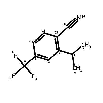 CC(C)c1cc(C(F)(F)F)ccc1C#N